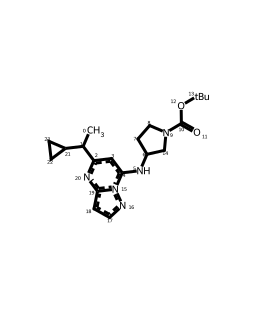 CC(c1cc(NC2CCN(C(=O)OC(C)(C)C)C2)n2nccc2n1)C1CC1